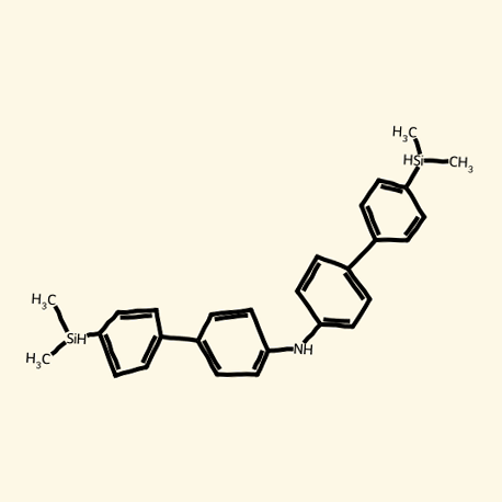 C[SiH](C)c1ccc(-c2ccc(Nc3ccc(-c4ccc([SiH](C)C)cc4)cc3)cc2)cc1